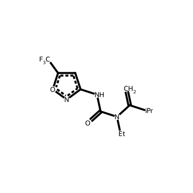 C=C(C(C)C)N(CC)C(=O)Nc1cc(C(F)(F)F)on1